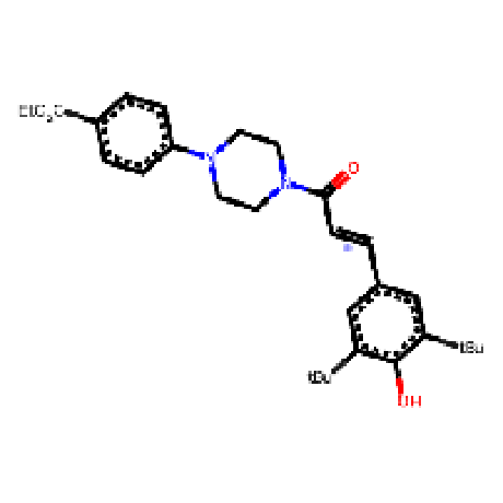 CCOC(=O)c1ccc(N2CCN(C(=O)/C=C/c3cc(C(C)(C)C)c(O)c(C(C)(C)C)c3)CC2)cc1